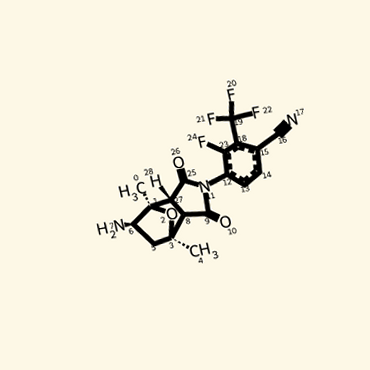 C[C@]12O[C@](C)(C[C@H]1N)C1C(=O)N(c3ccc(C#N)c(C(F)(F)F)c3F)C(=O)[C@H]12